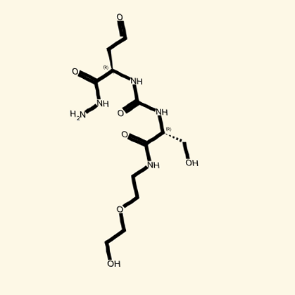 NNC(=O)[C@@H](CC=O)NC(=O)N[C@H](CO)C(=O)NCCOCCO